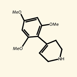 COc1cc(OC)c(C2=CCNCC2)c(OC)c1